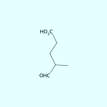 CC([C]=O)CCC(=O)O